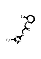 CCC1CCCCN1OC(=O)COc1nnc(C(F)(F)F)s1